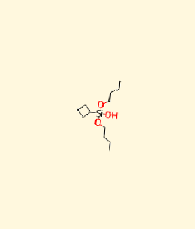 CCCCO[Si](O)(OCCCC)C1CCC1